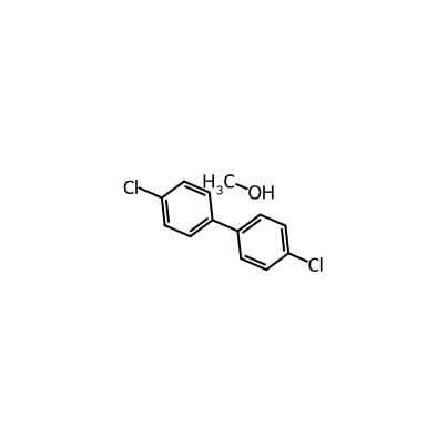 CO.Clc1ccc(-c2ccc(Cl)cc2)cc1